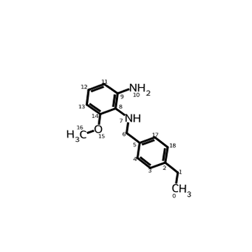 CCc1ccc(CNc2c(N)cccc2OC)cc1